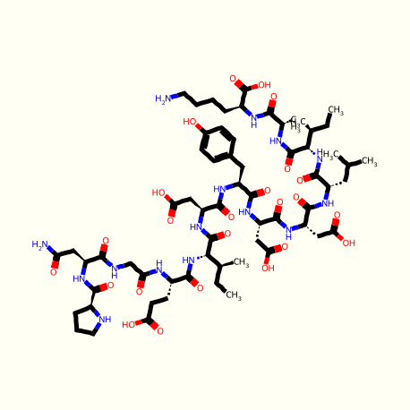 CC[C@H](C)[C@H](NC(=O)[C@H](CC(C)C)NC(=O)[C@H](CC(=O)O)NC(=O)[C@H](CC(=O)O)NC(=O)[C@H](Cc1ccc(O)cc1)NC(=O)[C@H](CC(=O)O)NC(=O)[C@@H](NC(=O)[C@H](CCC(=O)O)NC(=O)CNC(=O)[C@H](CC(N)=O)NC(=O)[C@@H]1CCCN1)[C@@H](C)CC)C(=O)N[C@@H](C)C(=O)N[C@@H](CCCCN)C(=O)O